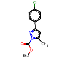 Cc1cc(-c2ccc(Cl)cc2)nn1C(=O)OC(C)(C)C